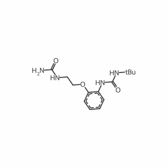 CC(C)(C)NC(=O)Nc1ccccc1OCCNC(N)=O